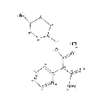 CCCCC1CCC(COC(=O)C(C(=S)NC)c2ccccn2)CC1.Cl